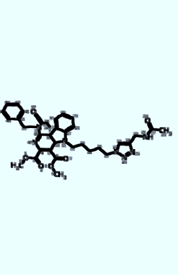 COC(=O)C1=C(C(=O)OC)C2N(CCCCCn3cc(CNC(C)=O)nn3)c3ccccc3[C@@]23CCC(=O)N(Cc2ccccc2)C3=N1